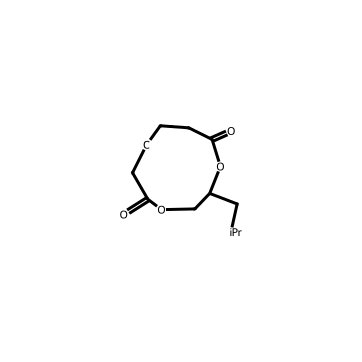 CC(C)CC1COC(=O)CCCCC(=O)O1